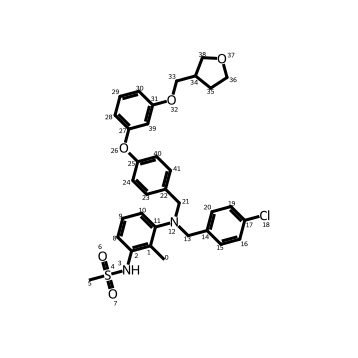 Cc1c(NS(C)(=O)=O)cccc1N(Cc1ccc(Cl)cc1)Cc1ccc(Oc2cccc(OCC3CCOC3)c2)cc1